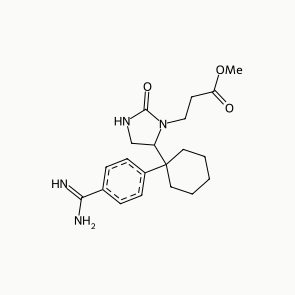 COC(=O)CCN1C(=O)NCC1C1(c2ccc(C(=N)N)cc2)CCCCC1